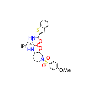 COc1ccc(S(=O)(=O)N2CCCC(NC(=O)[C@H](CC(C)C)NC(=O)c3cc4ccccc4s3)C(=O)C2)cc1